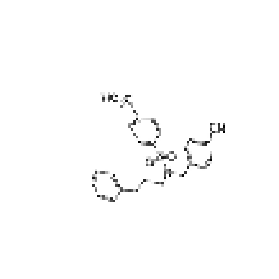 N#Cc1ccc(CN(CCCc2ccccc2)S(=O)(=O)c2ccc(C(=O)O)cc2)cc1